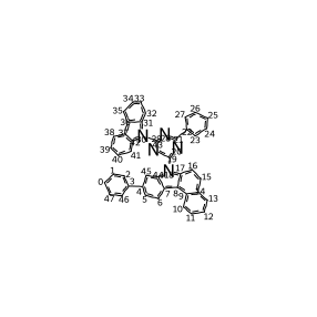 c1ccc(-c2ccc3c4c5ccccc5ccc4n(-c4nc(-c5ccccc5)nc(-n5c6ccccc6c6ccccc65)n4)c3c2)cc1